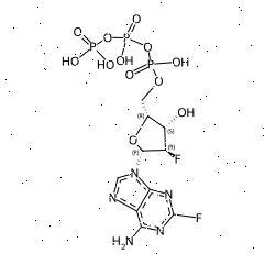 Nc1nc(F)nc2c1ncn2[C@@H]1O[C@H](COP(=O)(O)OP(=O)(O)OP(=O)(O)O)[C@H](O)[C@H]1F